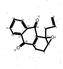 C=CCC12OC1CCC1=C2C(=O)c2ccccc2C1=O